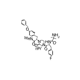 CCCC1C(=O)N(C(Cc2ccc(OCc3ccccc3)cc2)C(=O)NC)CCN1C(=O)C(Cc1ccc(F)cc1)NC(=O)C(C)(C)N